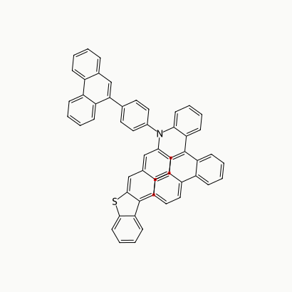 c1ccc(N(c2ccc(-c3cc4ccccc4c4ccccc34)cc2)c2ccc3cc4c(cc3c2)sc2ccccc24)c(-c2cc3ccccc3c3ccccc23)c1